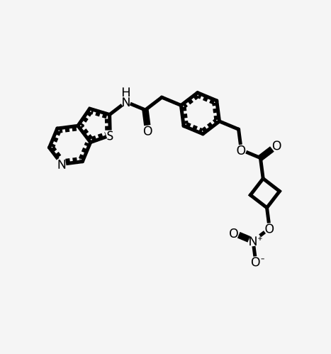 O=C(Cc1ccc(COC(=O)C2CC(O[N+](=O)[O-])C2)cc1)Nc1cc2ccncc2s1